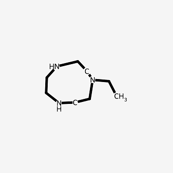 CCN1CCNCCNCC1